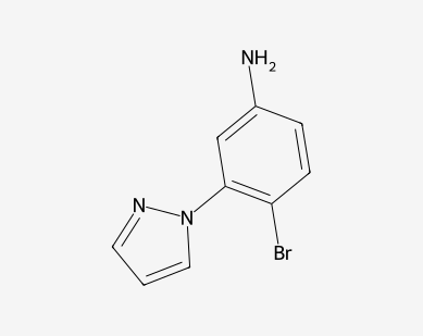 Nc1ccc(Br)c(-n2cccn2)c1